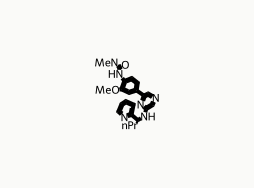 CCC[C@H](Nc1cncc(-c2ccc(NC(=O)NC)c(OC)c2)n1)c1ccccn1